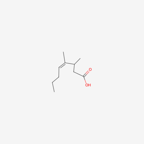 CCCC=C(C)C(C)CC(=O)O